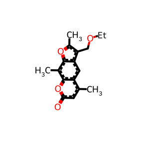 CCOCc1c(C)oc2c(C)c3oc(=O)cc(C)c3cc12